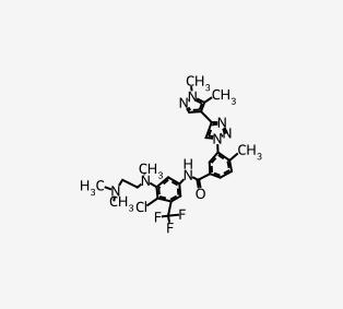 Cc1ccc(C(=O)Nc2cc(N(C)CCN(C)C)c(Cl)c(C(F)(F)F)c2)cc1-n1cc(-c2cnn(C)c2C)nn1